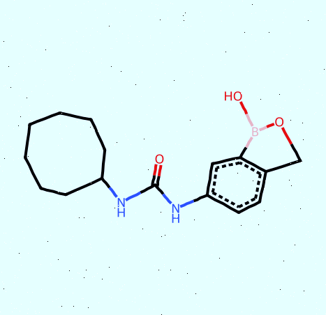 O=C(Nc1ccc2c(c1)B(O)OC2)NC1CCCCCCC1